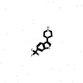 FC(F)(F)c1ccc2c(C3CCNCC3)csc2c1